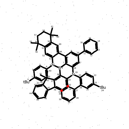 CC(C)(C)c1ccc(N2B3c4c(cc(-c5ccccc5)cc4N(c4ccc(C(C)(C)C)cc4-c4ccccc4)c4ccc5c(c43)C(C)(C)c3ccccc3-5)-c3cc4c(cc32)C(C)(C)CCC4(C)C)cc1